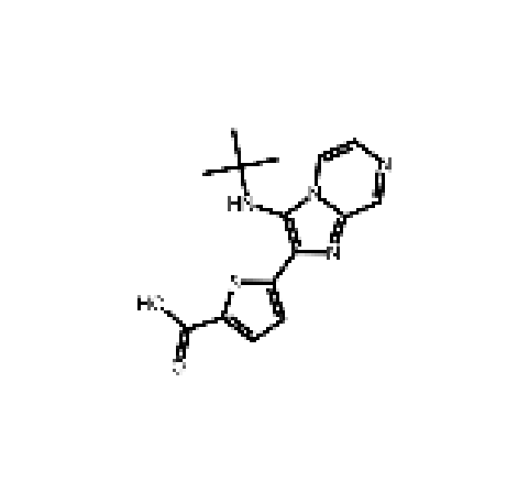 CC(C)(C)Nc1c(-c2ccc(C(=O)O)s2)nc2cnccn12